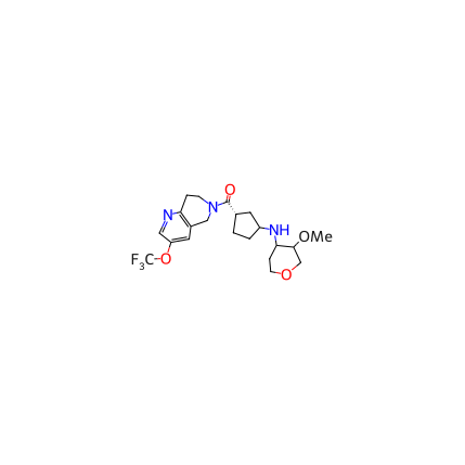 COC1COCCC1NC1CC[C@H](C(=O)N2CCc3ncc(OC(F)(F)F)cc3C2)C1